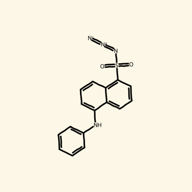 [N-]=[N+]=NS(=O)(=O)c1cccc2c(Nc3ccccc3)cccc12